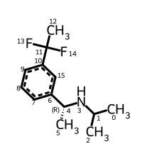 CC(C)N[C@H](C)c1cccc(C(C)(F)F)c1